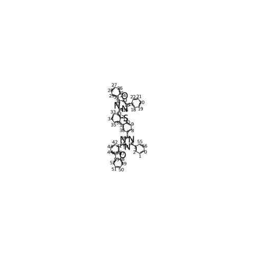 c1ccc(-c2nc(-c3ccc4sc5c(-c6nc(-c7ccccc7)c7oc8ccccc8c7n6)cccc5c4c3)nc(-c3cccc4c3oc3ccccc34)n2)cc1